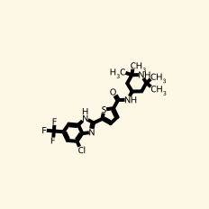 CC1(C)CC(NC(=O)c2ccc(-c3nc4c(Cl)cc(C(F)(F)F)cc4[nH]3)s2)CC(C)(C)N1